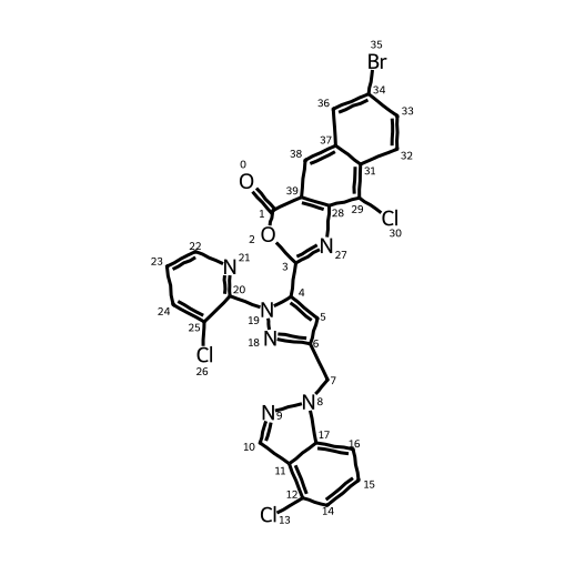 O=c1oc(-c2cc(Cn3ncc4c(Cl)cccc43)nn2-c2ncccc2Cl)nc2c(Cl)c3ccc(Br)cc3cc12